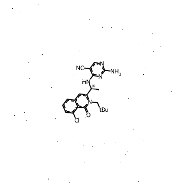 C[C@H](Nc1nc(N)ncc1C#N)c1cc2cccc(Cl)c2c(=O)n1CC(C)(C)C